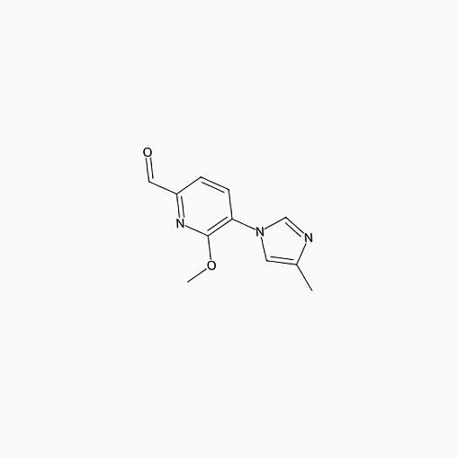 COc1nc(C=O)ccc1-n1cnc(C)c1